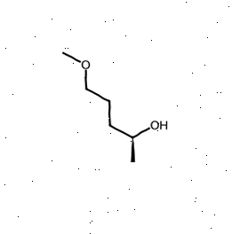 COCCC[C@H](C)O